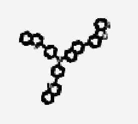 c1ccc2nc(-c3ccc(N(c4ccc(-c5ccc6ccccc6n5)cc4)c4ccc5cc(-c6ccc7oc8ncccc8c7c6)ccc5c4)cc3)ccc2c1